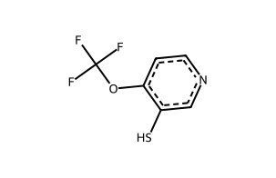 FC(F)(F)Oc1ccncc1S